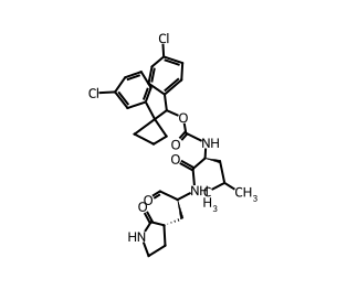 CC(C)C[C@H](NC(=O)OC(c1ccc(Cl)cc1)C1(c2cccc(Cl)c2)CCC1)C(=O)N[C@H](C=O)C[C@@H]1CCNC1=O